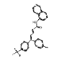 Cc1ccc(/C(=C\C=C\C(=O)Nc2cccc3cnccc23)c2ccc(C(F)(F)F)cc2)cc1